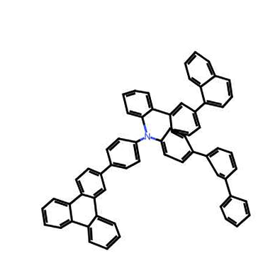 c1ccc(-c2cccc(-c3ccc(N(c4ccc(-c5ccc6c7ccccc7c7ccccc7c6c5)cc4)c4ccccc4-c4cccc(-c5cccc6ccccc56)c4)cc3)c2)cc1